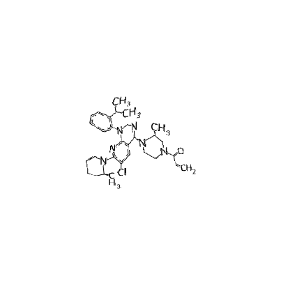 C=CC(=O)N1CCN(C2=NCN(c3ccccc3C(C)C)c3nc(N4CCCC[C@@H]4C)c(Cl)cc32)[C@@H](C)C1